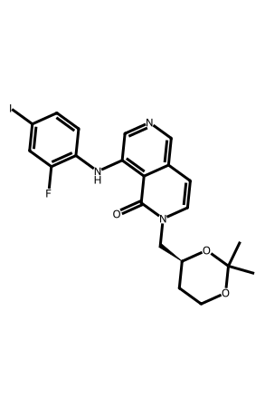 CC1(C)OCC[C@@H](Cn2ccc3cncc(Nc4ccc(I)cc4F)c3c2=O)O1